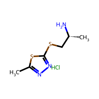 Cc1nnc(SC[C@@H](C)N)s1.Cl